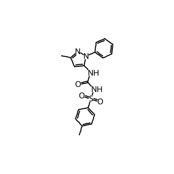 Cc1ccc(S(=O)(=O)NC(=O)Nc2cc(C)nn2-c2ccccc2)cc1